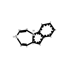 C1=Cc2cc3ccccc3n2C=CS1